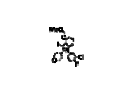 COCOc1cccc2c1c(I)c(C1CCOCC1)n2-c1ccc(F)c(Cl)c1